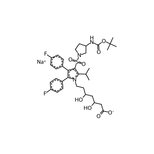 CC(C)c1c(S(=O)(=O)N2CCC(NC(=O)OC(C)(C)C)C2)c(-c2ccc(F)cc2)c(-c2ccc(F)cc2)n1CCC(O)CC(O)CC(=O)[O-].[Na+]